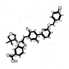 CC1(C)COCC1n1c(Cc2cc(F)c(-c3cccc(OCc4ccc(Cl)cc4)n3)cc2F)nc2ccc(C(=O)O)cc21